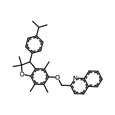 Cc1c(C)c2c(c(C)c1OCc1ccc3ccccc3n1)C(c1ccc(C(C)C)cc1)C(C)(C)O2